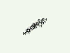 CC(C)C(CO)NC(=O)N1CC(S(=O)(=O)N2CCC(c3ccc(C#N)cc3)CC2)C1